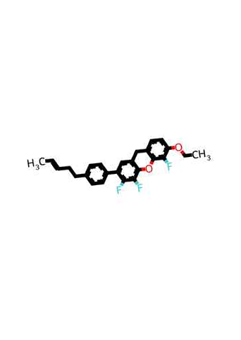 C/C=C/CCc1ccc(-c2cc3c(c(F)c2F)Oc2c(ccc(OCC)c2F)C3)cc1